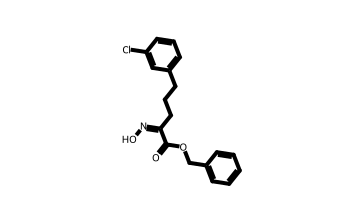 O=C(OCc1ccccc1)/C(CCCc1cccc(Cl)c1)=N\O